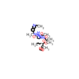 C=Cc1cc2cc([C@@H](C)NC(=O)[C@@H]3CCCN(C(=O)[C@H](C)NC(=O)[C@@H](OC(=O)[C@@H](C/C=C/C)CCC4(C)OCCO4)C(C)C)N3)ccc2cn1